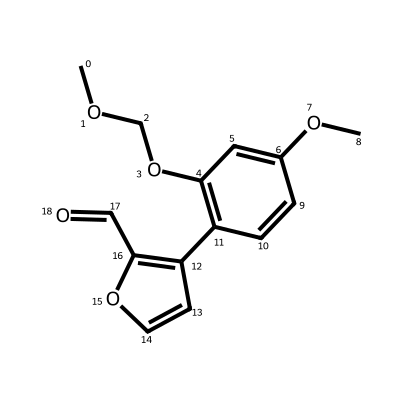 COCOc1cc(OC)ccc1-c1ccoc1C=O